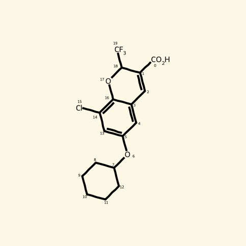 O=C(O)C1=Cc2cc(OC3CCCCC3)cc(Cl)c2OC1C(F)(F)F